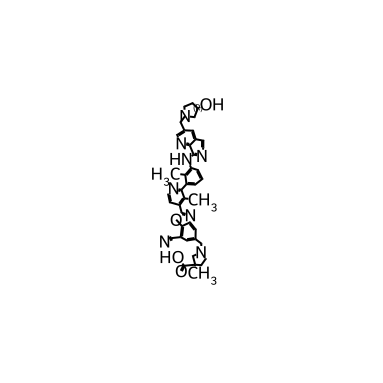 Cc1c(Nc2nccc3cc(CN4CC[C@@H](O)C4)cnc23)cccc1-c1nccc(-c2nc3cc(CN4CCC(C)(C(=O)O)C4)cc(C#N)c3o2)c1C